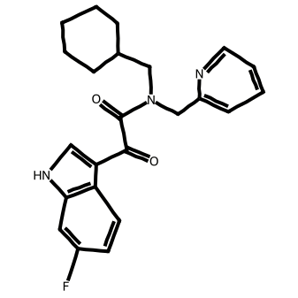 O=C(C(=O)N(Cc1ccccn1)CC1CCCCC1)c1c[nH]c2cc(F)ccc12